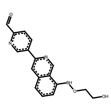 O=Cc1ccc(-c2cc3cccc(BOCCO)c3cn2)cn1